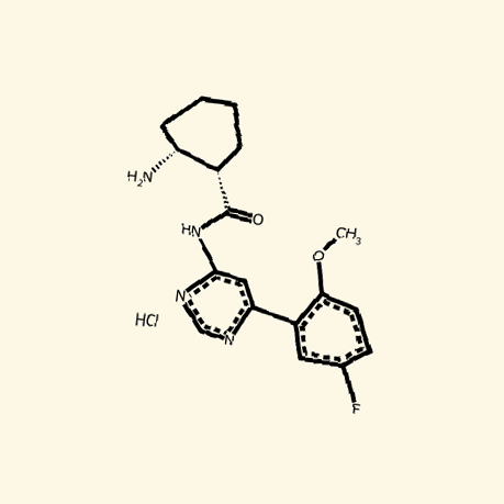 COc1ccc(F)cc1-c1cc(NC(=O)[C@H]2CCCC[C@H]2N)ncn1.Cl